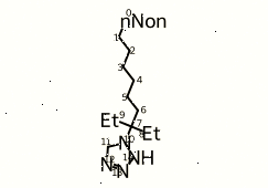 CCCCCCCCCCCCCCCC(CC)(CC)N1CN=NN1